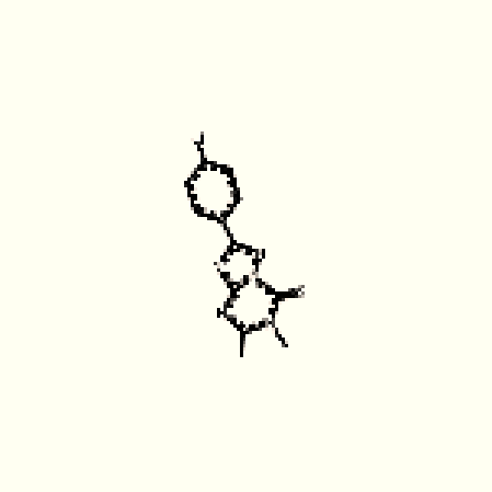 Cc1nc2nc(-c3ccc(Cl)cc3)nn2c(=S)n1C